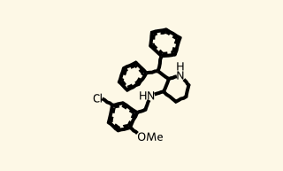 COc1ccc(Cl)cc1CNC1CCCNC1C(c1ccccc1)c1ccccc1